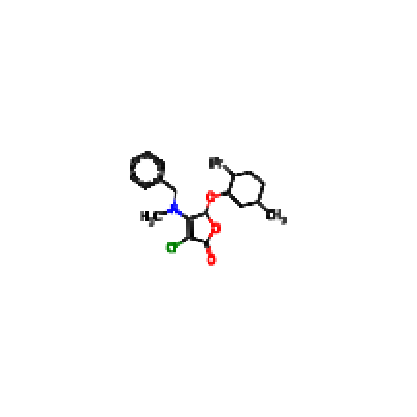 CC1CCC(C(C)C)C(OC2OC(=O)C(Cl)=C2N(C)Cc2ccccc2)C1